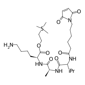 CC(C)C(NC(=O)CCCCCN1C(=O)C=CC1=O)C(=O)N[C@@H](C)C(=O)N[C@@H](CCCCN)C(=O)OCCS(C)(C)C